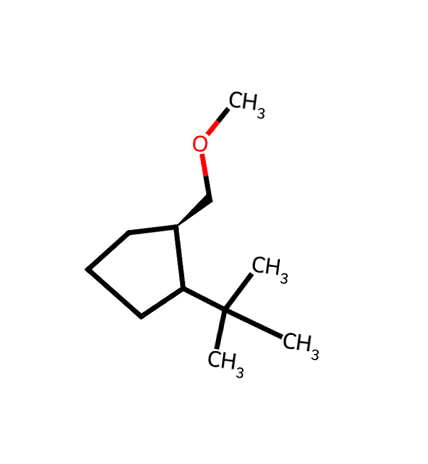 COC[C@@H]1CCCC1C(C)(C)C